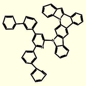 c1ccc(-c2cccc(-c3cc(-c4cccc(-c5ccccc5)c4)nc(-n4c5ccccc5c5cc6c7ccccc7c7cc8ccccc8n7c6cc54)c3)c2)cc1